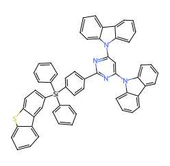 c1ccc([Si](c2ccccc2)(c2ccc(-c3nc(-n4c5ccccc5c5ccccc54)cc(-n4c5ccccc5c5ccccc54)n3)cc2)c2ccc3sc4ccccc4c3c2)cc1